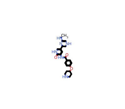 CNC1=CNCC(c2c[nH]c(=O)c(NC(=O)c3ccc(OC4CCNCC4)cc3)c2)=N1